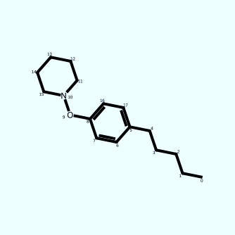 CCCCCc1ccc(ON2CC[CH]CC2)cc1